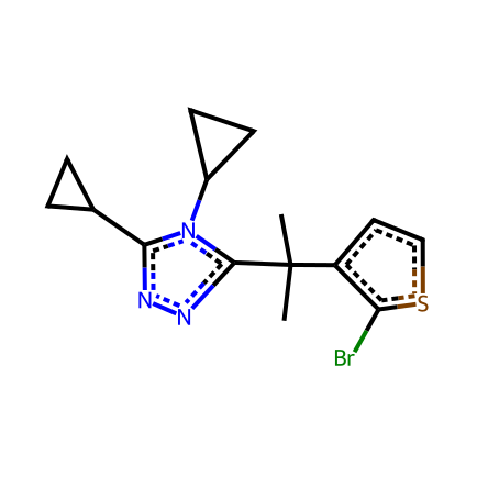 CC(C)(c1ccsc1Br)c1nnc(C2CC2)n1C1CC1